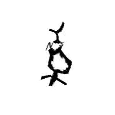 CC(C)c1nc2cc(C(C)(C)C)ccc2s1